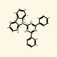 c1ccc(-c2nc(-c3ccccc3)nc(-n3c4ccccc4c4cccnc43)n2)cc1